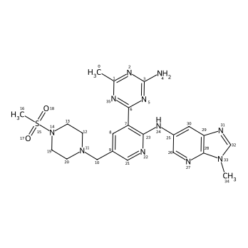 Cc1nc(N)nc(-c2cc(CN3CCN(S(C)(=O)=O)CC3)cnc2Nc2cnc3c(c2)ncn3C)n1